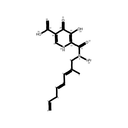 C=CCC=C/C=C(\C)CN(CCC)C(=O)c1[nH]cc(C(=C)O)c(=O)c1O